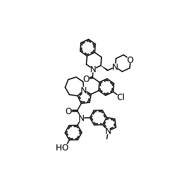 Cn1ccc2ccc(N(C(=O)c3cc(-c4cc(Cl)ccc4C(=O)N4Cc5ccccc5C[C@H]4CN4CCOCC4)n4c3CCCCC4)c3ccc(O)cc3)cc21